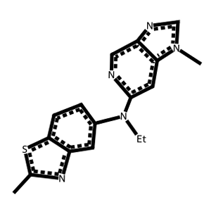 CCN(c1ccc2sc(C)nc2c1)c1cc2c(cn1)ncn2C